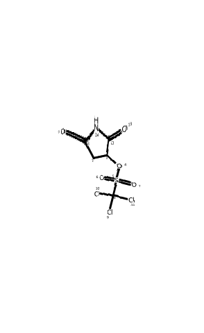 O=C1CC(OS(=O)(=O)C(Cl)(Cl)Cl)C(=O)N1